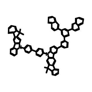 CC1(C)c2ccccc2-c2cc3c4ccccc4n(-c4ccc(-c5ccc(-n6c7ccc(-c8cccc(-c9cc(-c%10ccc%11ccccc%11c%10)cc(-c%10ccc%11ccccc%11c%10)c9)c8)cc7c7cc8c(cc76)C(C)(C)c6ccccc6-8)cc5)cc4)c3cc21